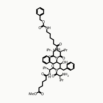 COC(=O)CCCCC(=O)N[C@H](C(=O)N(C(=O)[C@@H](N)C(C)C)C(Cc1ccccc1)C(O)C(Cc1ccccc1)N(C(=O)[C@@H](N)C(C)C)C(=O)[C@@H](NC(=O)CCCCCNC(=O)OCc1ccccc1)C(C)C)C(C)C